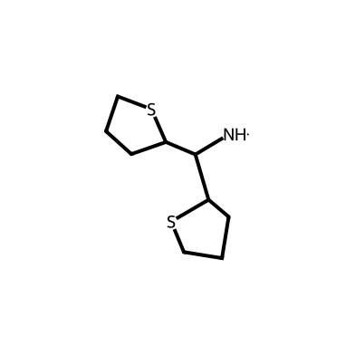 [NH]C(C1CCCS1)C1CCCS1